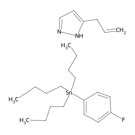 C=CCc1ccn[nH]1.CCC[CH2][Sn]([CH2]CCC)([CH2]CCC)[c]1ccc(F)cc1